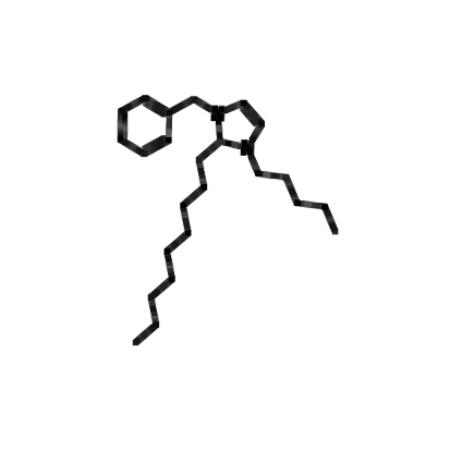 CCCCCCCCCC1N(CCCCC)C=CN1Cc1ccccc1